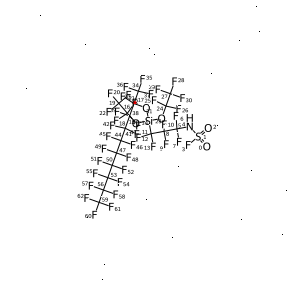 O=S(=O)(F)NC(F)(F)C(F)(F)C(F)(F)[Si](OC(F)(F)C(F)(F)F)(OC(F)(F)C(F)(F)F)OC(F)(C(F)(F)F)C(F)(F)C(F)(F)C(F)(F)C(F)(F)C(F)(F)C(F)(F)C(F)(F)C(F)(F)F